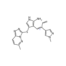 C=C/C(=C\c1c(Sc2nnc3ccc(C)nn23)c[nH]c1N)c1cnn(C)c1